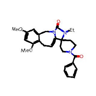 CCN1C(=O)N2Cc3cc(OC)cc(OC)c3CC=C2C12CCN(C(=O)c1ccccc1)CC2